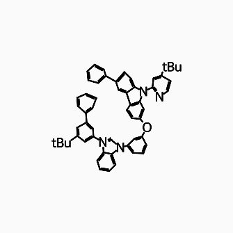 CC(C)(C)c1cc(-c2ccccc2)cc(-[n+]2cn(-c3cccc(Oc4ccc5c6cc(-c7ccccc7)ccc6n(-c6cc(C(C)(C)C)ccn6)c5c4)c3)c3ccccc32)c1